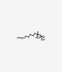 CCCCCCCCCCCCC(C)(C)OP(=O)(O)O